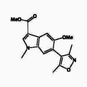 COC(=O)c1cn(C)c2cc(-c3c(C)noc3C)c(OC)cc12